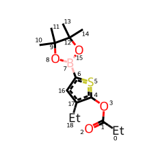 CCC(=O)Oc1sc(B2OC(C)(C)C(C)(C)O2)cc1CC